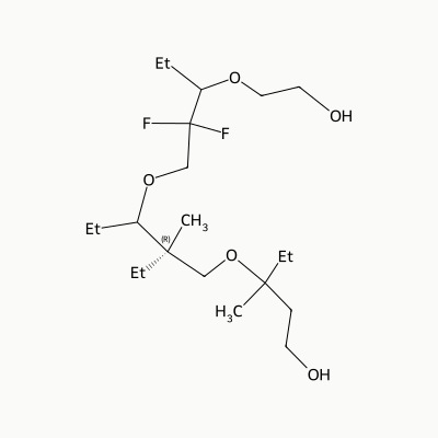 CCC(OCCO)C(F)(F)COC(CC)[C@](C)(CC)COC(C)(CC)CCO